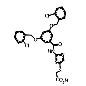 O=C(O)CSc1cnc(NC(=O)c2cc(OCc3ccccc3Cl)cc(OCc3ccccc3Cl)c2)s1